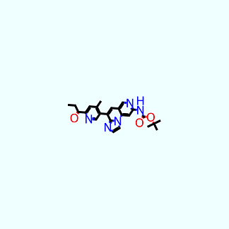 CCC(=O)c1cc(C)c(-c2cc3cnc(NC(=O)OC(C)(C)C)cc3n3ccnc23)cn1